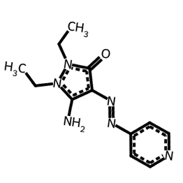 CCn1c(N)c(/N=N/c2ccncc2)c(=O)n1CC